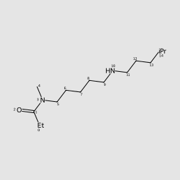 CCC(=O)N(C)CCCCCNCCCC(C)C